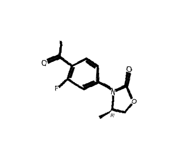 CC(=O)c1ccc(N2C(=O)OC[C@H]2C)cc1F